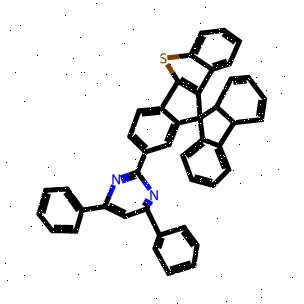 C1=CC2c3ccccc3C3(c4cc(-c5nc(-c6ccccc6)cc(-c6ccccc6)n5)ccc4-c4sc5ccccc5c43)C2C=C1